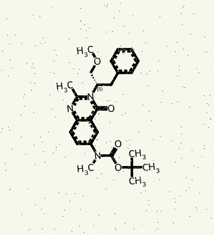 COC[C@H](Cc1ccccc1)n1c(C)nc2ccc(N(C)C(=O)OC(C)(C)C)cc2c1=O